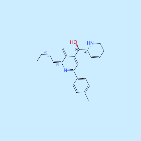 C=c1c([C@@H](O)[C@H]2C=CCCN2)cc(-c2ccc(C)cc2)n/c1=C/C=C\C